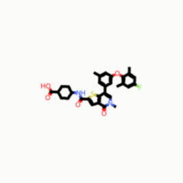 Cc1cc(Oc2c(C)cc(F)cc2C)cc(-c2cn(C)c(=O)c3cc(C(=O)NC4CCC(C(=O)O)CC4)sc23)c1